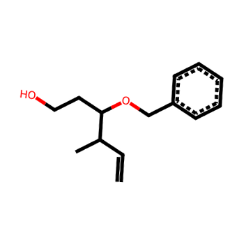 C=CC(C)C(CCO)OCc1ccccc1